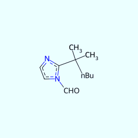 CCCCC(C)(C)c1nccn1C=O